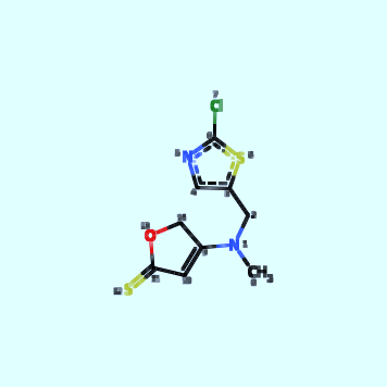 CN(Cc1cnc(Cl)s1)C1=CC(=S)OC1